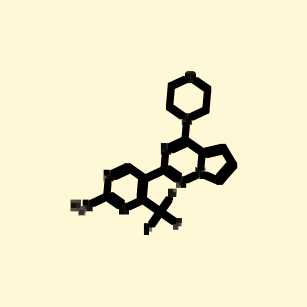 Nc1ncc(-c2nc(N3CCOCC3)c3cccn3n2)c(C(F)(F)F)n1